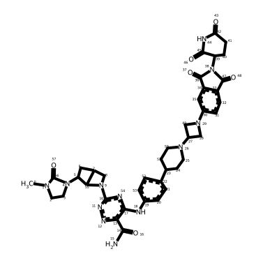 CN1CCN(C2CC3CN(c4nnc(C(N)=O)c(Nc5ccc(C6CCN(C7CN(c8ccc9c(c8)C(=O)N(C8CCC(=O)NC8=O)C9=O)C7)CC6)cc5)n4)C32)C1=O